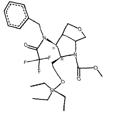 CC[Si](CC)(CC)OC[C@H]1[C@@H](N(Cc2ccccc2)C(=O)C(F)(F)F)C2COCC2N1C(=O)OC